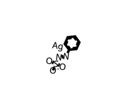 O=S(=O)([O-])N=Nc1ccccc1.[Ag+]